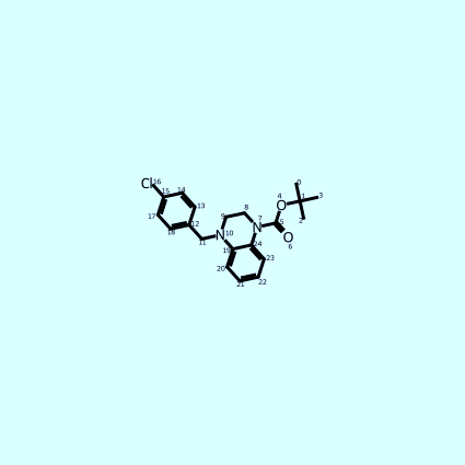 CC(C)(C)OC(=O)N1CCN(Cc2ccc(Cl)cc2)c2ccccc21